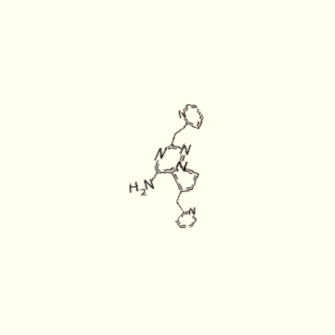 Nc1nc(Cc2ccccn2)nn2ccc(Cc3ccccn3)c12